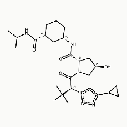 CC(C)NC(=O)[C@@H]1CCC[C@H](NC(=O)[C@@H]2C[C@@H](O)CN2C(=O)[C@@H](n2cc(C3CC3)nn2)C(C)(C)C)C1